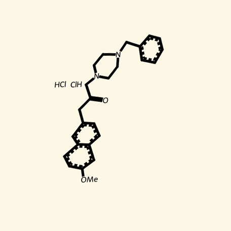 COc1ccc2cc(CC(=O)CN3CCN(Cc4ccccc4)CC3)ccc2c1.Cl.Cl